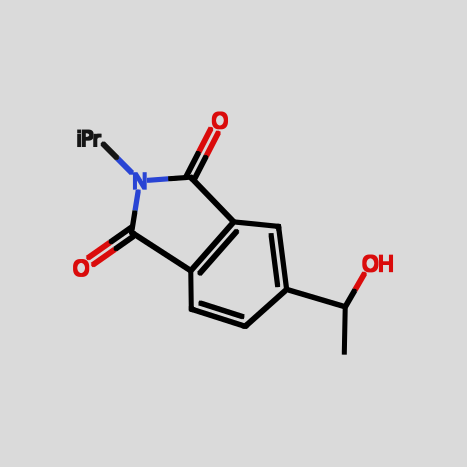 CC(O)c1ccc2c(c1)C(=O)N(C(C)C)C2=O